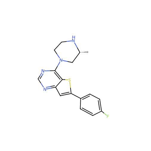 C[C@@H]1CN(c2ncnc3cc(-c4ccc(F)cc4)sc23)CCN1